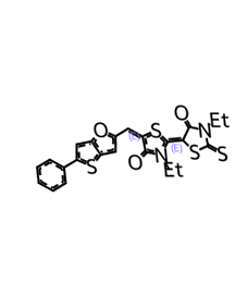 CCN1C(=O)/C(=c2\s/c(=C/c3cc4sc(-c5ccccc5)cc4o3)c(=O)n2CC)SC1=S